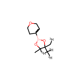 [2H]CC1(C([2H])([2H])[2H])OB(C2=CCOCC2)OC1(C)C